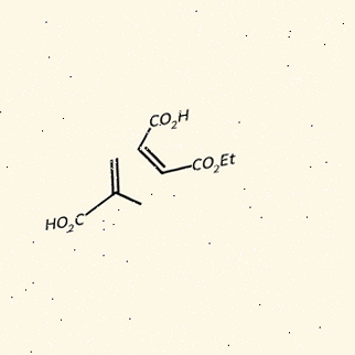 C=C(C)C(=O)O.CCOC(=O)/C=C\C(=O)O